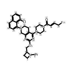 CC(C)N1CCC1COc1nc2c(c(N3CCN(C(=O)/C=C/CF)CC3)n1)CCN(c1cccc3cccc(Cl)c13)C2